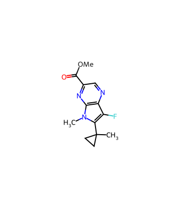 COC(=O)c1cnc2c(F)c(C3(C)CC3)n(C)c2n1